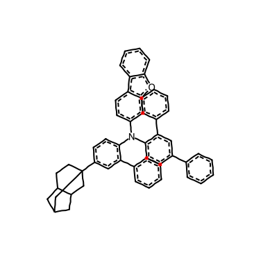 c1ccc(-c2ccc(N(c3ccc4c(c3)oc3ccccc34)c3ccc(C45CCC6CC(CC6C4)C5)cc3-c3ccccc3)c(-c3ccccc3)c2)cc1